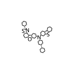 c1ccc(-c2ccc(N(c3ccc4c(c3)oc3ccc5sc(-c6ccccc6)nc5c34)c3ccc4c(c3)sc3ccccc34)cc2)cc1